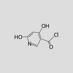 O=C(Cl)c1cnc(O)cc1O